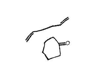 C=CCCC=C.O=C1CCCCC1